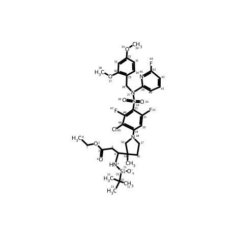 CCOC(=O)CC(N[S@+]([O-])C(C)(C)C)C1(C)CCN(c2cc(F)c(S(=O)(=O)N(Cc3ccc(OC)cc3OC)c3cccc(F)n3)c(F)c2Cl)C1